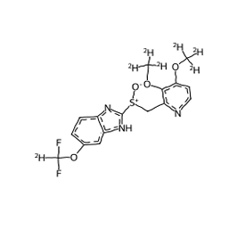 [2H]C([2H])([2H])Oc1ccnc(C[S+]([O-])c2nc3ccc(OC([2H])(F)F)cc3[nH]2)c1OC([2H])([2H])[2H]